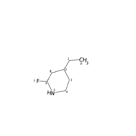 CCC1CCNC(F)C1